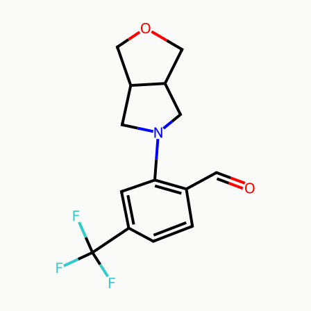 O=Cc1ccc(C(F)(F)F)cc1N1CC2COCC2C1